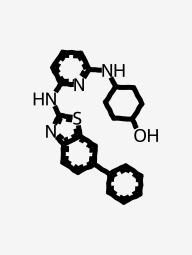 OC1CCC(Nc2cccc(Nc3nc4ccc(-c5ccccc5)cc4s3)n2)CC1